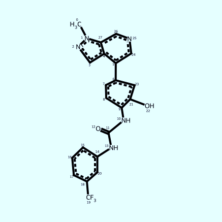 Cn1ncc2c(-c3ccc(NC(=O)Nc4cccc(C(F)(F)F)c4)c(O)c3)cncc21